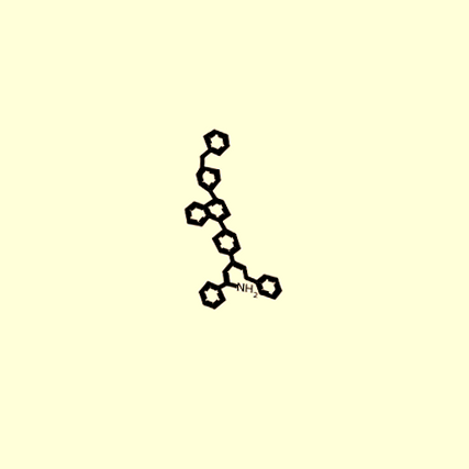 N/C(=C\C(=C/Cc1ccccc1)c1ccc(-c2ccc(-c3ccc(Cc4ccccc4)cc3)c3ccccc23)cc1)c1ccccc1